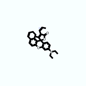 C/C=C\C1=C(C)C2(OC1=O)c1ccc(N(CC)CC)cc1Oc1ccc3c(c12)CCC=C3